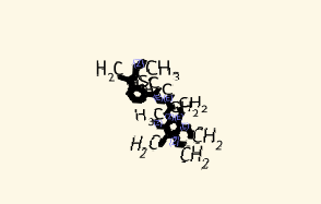 C=C/C=c1c(C=C)c(/C=C\C)c(=C/C(=C)C(=C/C)/C=C(\C=C)c2cccc3c(C=C)c(/C=C\C)sc23)/c(=C\C=C)c/1=C/C=C